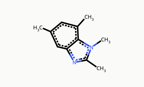 Cc1cc(C)c2c(c1)nc(C)n2C